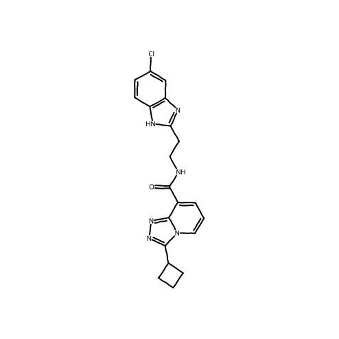 O=C(NCCc1nc2cc(Cl)ccc2[nH]1)c1cccn2c(C3CCC3)nnc12